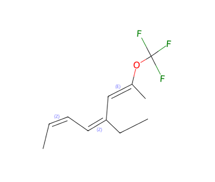 C\C=C/C=C(\C=C(/C)OC(F)(F)F)CC